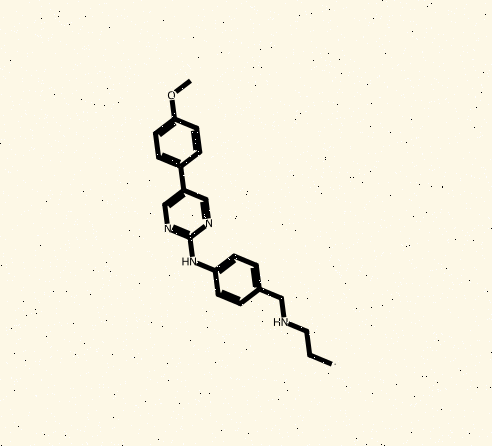 [CH2]CCNCc1ccc(Nc2ncc(-c3ccc(OC)cc3)cn2)cc1